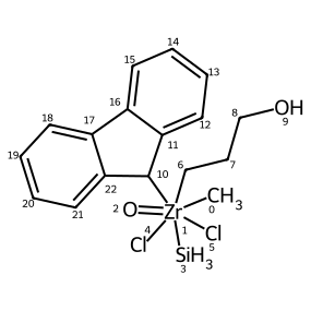 [CH3][Zr](=[O])([SiH3])([Cl])([Cl])([CH2]CCO)[CH]1c2ccccc2-c2ccccc21